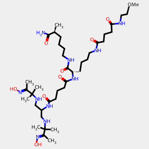 COCCNC(=O)CCCC(=O)NCCCC[C@H](NC(=O)CCCC(=O)NC(CNC(C)(C)/C(C)=N/O)CNC(C)(C)/C(C)=N/O)C(=O)NCCCC[C@H](C)C(N)=O